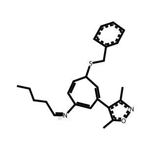 CCCC/C=N\C1=CC(c2c(C)noc2C)=CC(SCc2ccccc2)C=C1